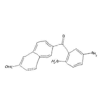 Nc1ccc(N)c(C(=O)c2ccc3cc(C=O)ccc3c2)c1